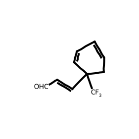 O=CC=CC1(C(F)(F)F)C=CC=CC1